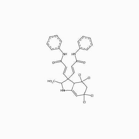 O=C(C=CC1(/C=C/C(=O)Nc2ccccc2)C(C(=O)O)NC2=CC(Cl)(Cl)CC(Cl)(Cl)C21)Nc1ccccc1